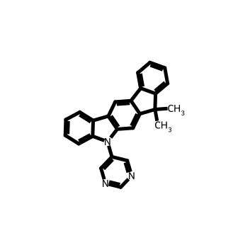 CC1(C)c2ccccc2-c2cc3c4ccccc4n(-c4cncnc4)c3cc21